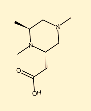 C[C@H]1CN(C)C[C@H](CC(=O)O)N1C